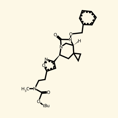 CN(CCc1cc([C@@H]2CC3(CC3)[C@H]3CN2C(=O)N3OCc2ccccc2)no1)C(=O)OC(C)(C)C